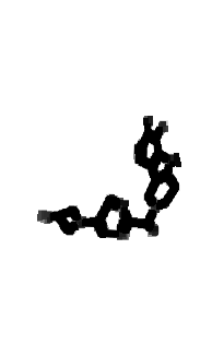 O=C(c1ncc(N2CC(O)C2)cn1)N1CCc2[nH]c3c(Cl)c(Cl)ccc3c2C1